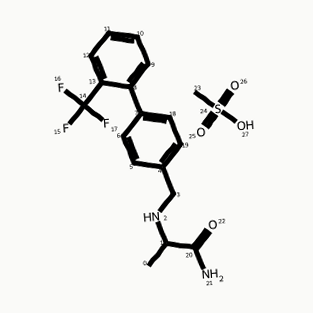 CC(NCc1ccc(-c2ccccc2C(F)(F)F)cc1)C(N)=O.CS(=O)(=O)O